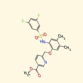 COC(=O)c1ccc(COc2cc(C)c(C)cc2NS(=O)(=O)c2cc(F)cc(F)c2)nc1